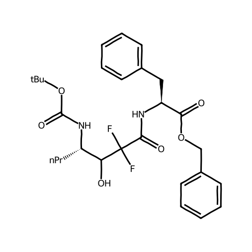 CCC[C@H](NC(=O)OC(C)(C)C)C(O)C(F)(F)C(=O)N[C@@H](Cc1ccccc1)C(=O)OCc1ccccc1